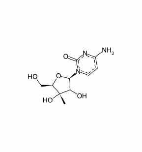 C[C@]1(O)C(O)[C@H](n2ccc(N)nc2=O)O[C@@H]1CO